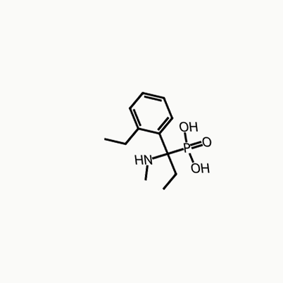 CCc1ccccc1C(CC)(NC)P(=O)(O)O